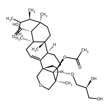 CC(=O)O[C@@H]1C[C@]23COC[C@@](C)([C@@H]2CC[C@H]2C3=CC[C@@]3(C)[C@H](C(=O)O)[C@@](C)([C@H](C)C(C)C)CC[C@]23C)[C@H]1OC[C@@H](O)CO